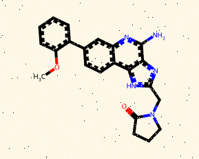 COc1ccccc1-c1ccc2c(c1)nc(N)c1nc(CN3CCCC3=O)[nH]c12